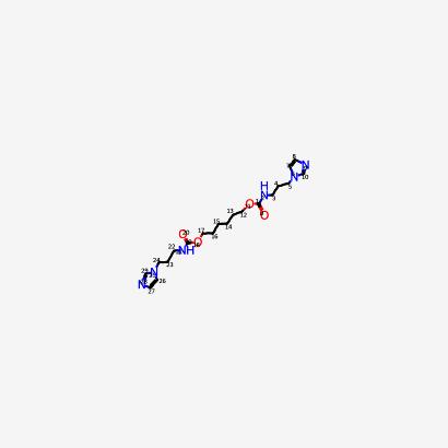 O=C(NCCCn1ccnc1)OCCCCCCOC(=O)NCCCn1ccnc1